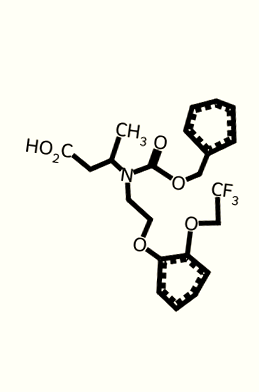 CC(CC(=O)O)N(CCOc1ccccc1OCC(F)(F)F)C(=O)OCc1ccccc1